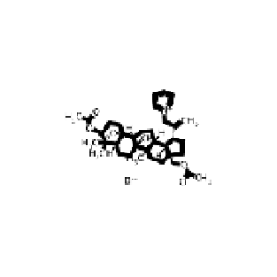 C=C(C[n+]1ccccc1)[C@@H]1CC[C@]2(COC(C)=O)CC[C@]3(C)[C@H](CC[C@@H]4[C@@]5(C)CCC(OC(C)=O)C(C)(C)[C@@H]5CC[C@]43C)[C@@H]12.[Br-]